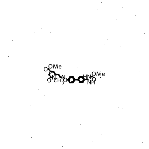 COC(=O)NC(=N)c1ccc(-c2ccc(ON=CC[C@@H]3C[C@H](C(=O)OC)CC(=O)N3C)cc2)cc1